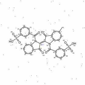 Cc1ccc2c(c1)C(=O)/C(=C1/C(=O)c3ccccc3N1C(=O)c1cccc(S(=O)(=O)O)c1)N2C(=O)c1cccc(S(=O)(=O)O)c1